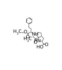 CCOC(=O)C(CCc1ccccc1)N[C@@H](C)C(=O)C12CCCC1CC(C(=O)O)N2